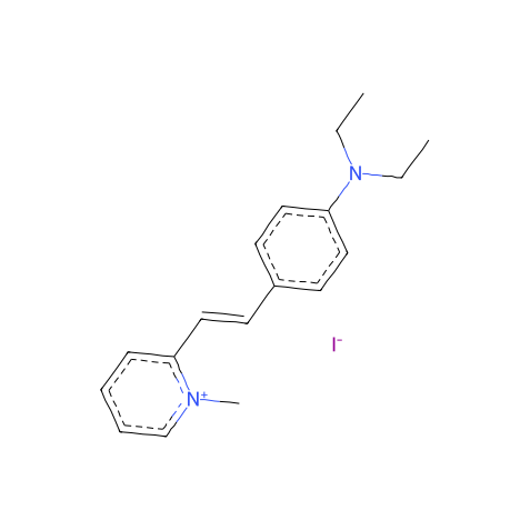 CCN(CC)c1ccc(C=Cc2cccc[n+]2C)cc1.[I-]